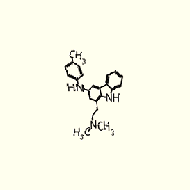 Cc1ccc(Nc2cc(CCN(C)C)c3[nH]c4ccccc4c3c2)cc1